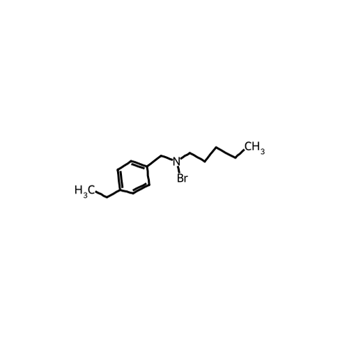 CCCCCN(Br)Cc1ccc(CC)cc1